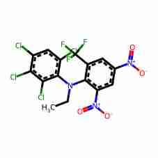 CCN(c1c([N+](=O)[O-])cc([N+](=O)[O-])cc1C(F)(F)F)c1c(Cl)cc(Cl)c(Cl)c1Cl